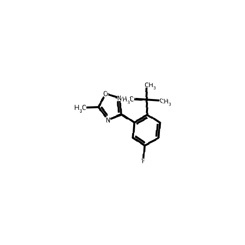 Cc1nc(-c2cc(F)ccc2C(C)(C)C)no1